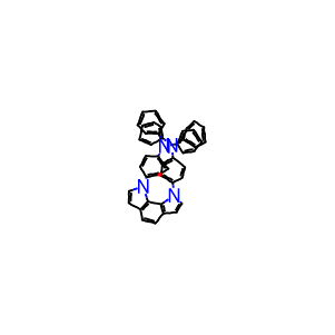 c1ccc(N(c2ccccc2)c2ccc(-n3ccc4ccc5ccn(-c6ccc(N(c7ccccc7)c7ccccc7)cc6)c5c43)cc2)cc1